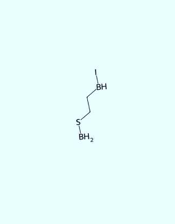 BSCCBI